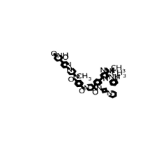 CC(C)n1cnc2cc(-c3ccc4c(c3)N([C@H]3C[C@@H](N5CCCCC5)C3)C(=O)C43CCN(C(=O)c4ccc(C(=O)N(C)C5CCN(c6ccc(C7CCC(=O)NC7=O)cn6)CC5)cc4)CC3)nc(Nc3ccccc3F)c21